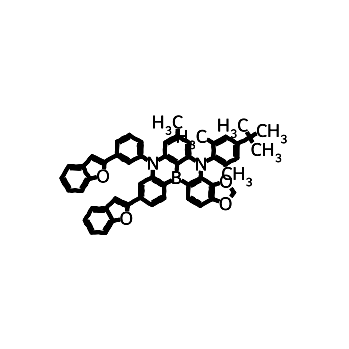 Cc1cc2c3c(c1)N(c1c(C)cc(C(C)(C)C)cc1C)c1c(ccc4c1OCO4)B3c1ccc(-c3cc4ccccc4o3)cc1N2c1cccc(-c2cc3ccccc3o2)c1